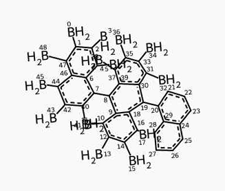 Bc1c(B)c(B)c2c(-c3c4c(B)c(B)c(B)c(B)c4c(-c4cccc5ccccc45)c4c(B)c(B)c(B)c(B)c34)c(B)c(B)c(B)c2c1B